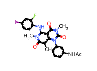 CC(=O)Nc1cccc(-n2c(=O)n(C)c(=O)c3c(Nc4ccc(I)cc4F)n(C)c(=O)c(C)c32)c1